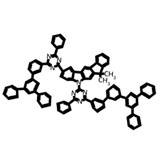 CC1(C)c2ccccc2-c2cc3c4cc(-c5nc(-c6ccccc6)nc(-c6cccc(-c7cc(-c8ccccc8)cc(-c8ccccc8)c7)c6)n5)ccc4n(-c4nc(-c5ccccc5)nc(-c5cccc(-c6cccc(-c7cc(-c8ccccc8)cc(-c8ccccc8)c7)c6)c5)n4)c3cc21